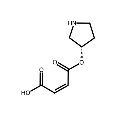 O=C(O)/C=C\C(=O)O[C@H]1CCNC1